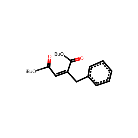 CC(C)COC(=O)/C=C(/Cc1ccccc1)C(=O)OCC(C)C